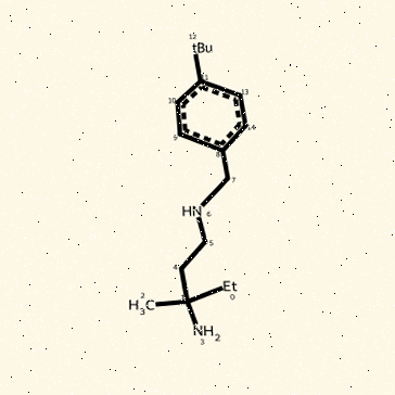 CCC(C)(N)CCNCc1ccc(C(C)(C)C)cc1